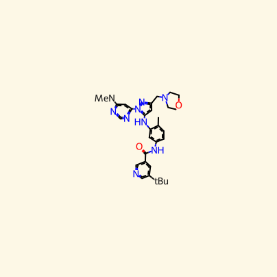 CNc1cc(-n2nc(CN3CCOCC3)cc2Nc2cc(NC(=O)c3cncc(C(C)(C)C)c3)ccc2C)ncn1